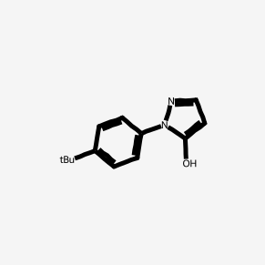 CC(C)(C)c1ccc(-n2nccc2O)cc1